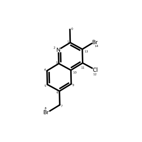 Cc1nc2ccc(CBr)cc2c(Cl)c1Br